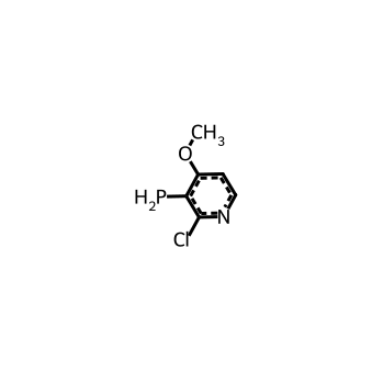 COc1ccnc(Cl)c1P